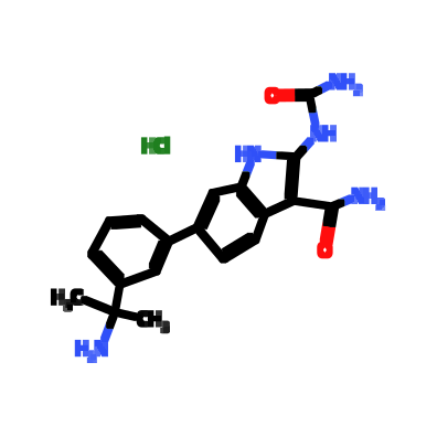 CC(C)(N)c1cccc(-c2ccc3c(C(N)=O)c(NC(N)=O)[nH]c3c2)c1.Cl